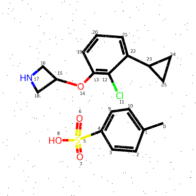 Cc1ccc(S(=O)(=O)O)cc1.Clc1c(OC2CNC2)cccc1C1CC1